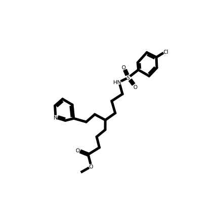 COC(=O)CCCC(CCCNS(=O)(=O)c1ccc(Cl)cc1)CCc1cccnc1